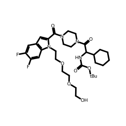 CC(C)(C)OC(=O)NC(C(=O)N1CCN(C(=O)c2cc3cc(F)c(F)cc3n2CCOCCOCCO)CC1)C1CCCCC1